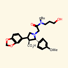 CCCCN(CCCO)C(=O)CN1CC(c2ccc3c(c2)OCO3)[C@H](C(=O)O)[C@H]1c1ccc(OC)cc1